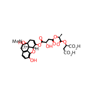 CC[C@]12c3c4ccc(O)c3O[C@H]1C(OC(=O)[C@@H](O)CC(=O)O[C@@H](C)C(=O)O[C@H](CC(=O)O)C(=O)O)=CC[C@@]2(O)[C@H](NC)C4